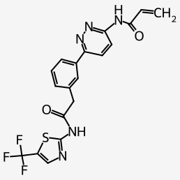 C=CC(=O)Nc1ccc(-c2cccc(CC(=O)Nc3ncc(C(F)(F)F)s3)c2)nn1